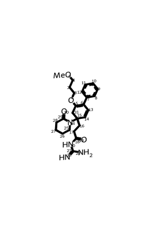 COCCCOC1=C(c2ccccc2)C=CC(CCC(=O)NC(=N)N)(N2CCCCC2=O)C1